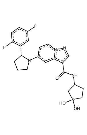 O=C(NC1CCS(O)(O)C1)c1cnn2ccc(N3CCC[C@@H]3c3cc(F)ccc3F)cc12